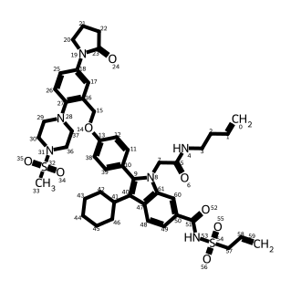 C=CCCNC(=O)Cn1c(-c2ccc(OCc3cc(N4CCCC4=O)ccc3N3CCN(S(C)(=O)=O)CC3)cc2)c(C2CCCCC2)c2ccc(C(=O)NS(=O)(=O)CC=C)cc21